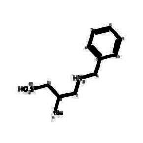 CC(C)(C)C(CNCc1ccccc1)CS(=O)(=O)O